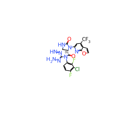 N=NC(=NN)N(C(=O)[C@@H]1CNC(=O)N1c1cc(C(F)(F)F)c2ccoc2n1)c1ccc(F)c(Cl)c1F